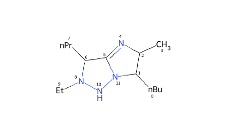 CCCCC1C(C)N=C2C(CCC)N(CC)NN21